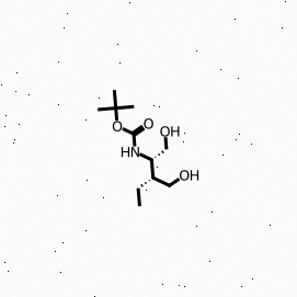 CC[C@@H](CO)[C@@H](CO)NC(=O)OC(C)(C)C